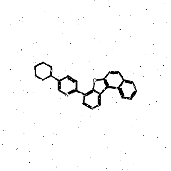 c1ccc2c(c1)ccc1oc3c(-c4ccc(C5CCCCC5)cn4)cccc3c12